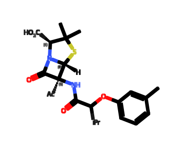 CC(=O)[C@]1(NC(=O)C(Oc2cccc(C)c2)C(C)C)C(=O)N2[C@@H](C(=O)O)C(C)(C)S[C@@H]21